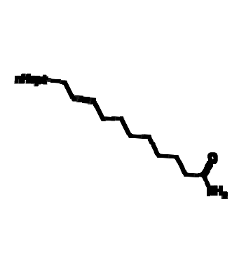 CCCCCCCCC=CCCCCCCCC(N)=O